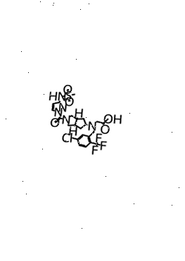 CS(=O)(=O)Nc1ccn(C(=O)N2C[C@H]3C[C@H](N(CC(=O)O)Cc4cc(Cl)ccc4C(F)(F)F)C[C@H]3C2)n1